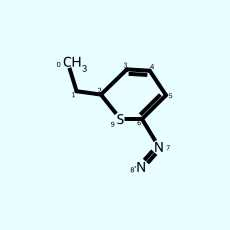 CCC1C=CC=C(N=[N])S1